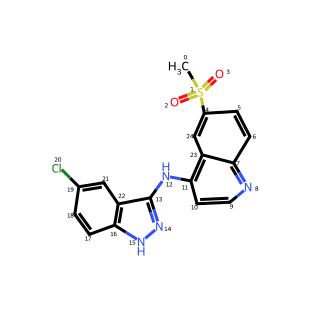 CS(=O)(=O)c1ccc2nccc(Nc3n[nH]c4ccc(Cl)cc34)c2c1